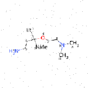 CCC(CCN)(NC)OCCN(C)C